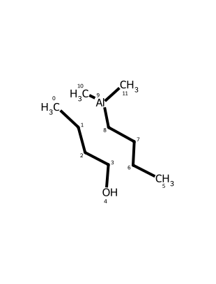 CCCCO.CCC[CH2][Al]([CH3])[CH3]